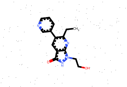 CCc1nc2c(cc1-c1cccnc1)c(=O)[nH]n2CCO